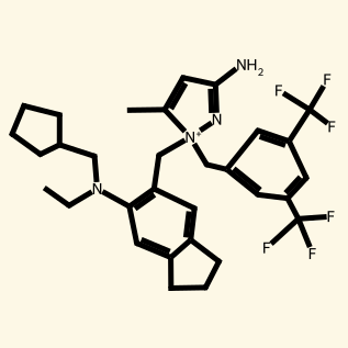 CCN(CC1CCCC1)c1cc2c(cc1C[N+]1(Cc3cc(C(F)(F)F)cc(C(F)(F)F)c3)N=C(N)C=C1C)CCC2